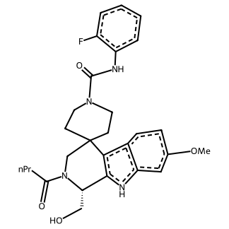 CCCC(=O)N1CC2(CCN(C(=O)Nc3ccccc3F)CC2)c2c([nH]c3cc(OC)ccc23)[C@@H]1CO